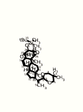 CC(C1OCC(C)(C)CO1)[C@H]1CC[C@H]2[C@@H]3C=C[C@@]45O[C@@H]4[C@@H](O[Si](C)(C)C(C)(C)C)[C@@H]4O[C@@H]4[C@]5(C)[C@H]3CC[C@]12C